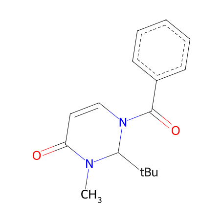 CN1C(=O)C=CN(C(=O)c2ccccc2)C1C(C)(C)C